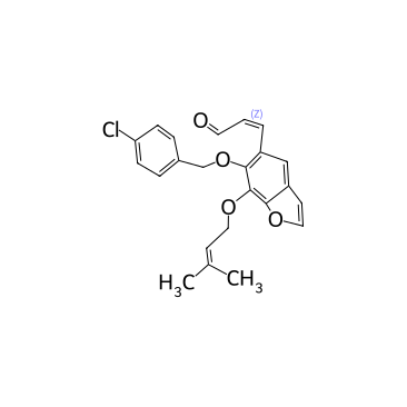 CC(C)=CCOc1c(OCc2ccc(Cl)cc2)c(/C=C\C=O)cc2ccoc12